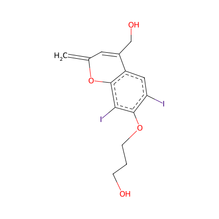 C=C1C=C(CO)c2cc(I)c(OCCCO)c(I)c2O1